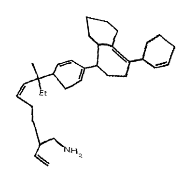 C=CC(CN)CC/C=C\C(C)(CC)C1C=CC(C2CCC(C3C=CCCC3)=C3CCCCC32)=CC1